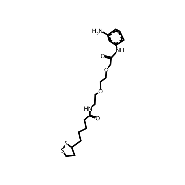 Nc1cccc(NC(=O)COCCOCCNC(=O)CCCCC2CCSS2)c1